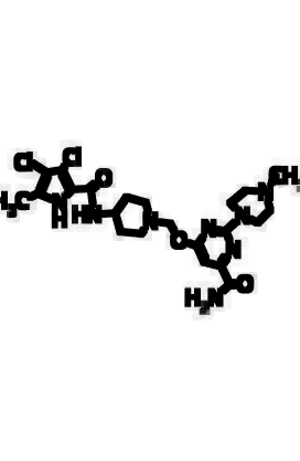 Cc1[nH]c(C(=O)NC2CCN(COc3cc(C(N)=O)nc(N4CCN(C)CC4)n3)CC2)c(Cl)c1Cl